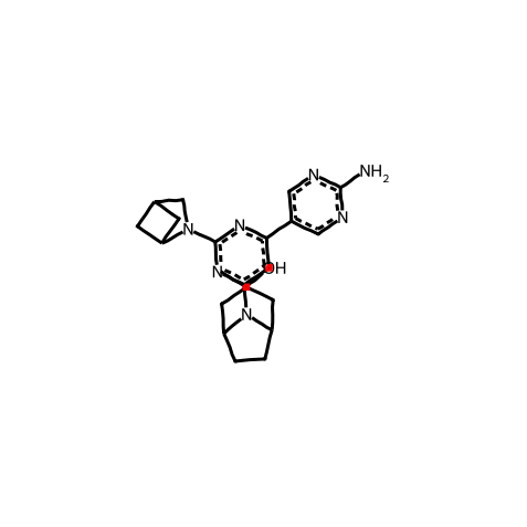 CC1(O)CC2CCC(C1)N2c1cc(-c2cnc(N)nc2)nc(N2CC3CC2C3)n1